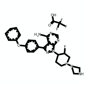 Nc1ncnc2c1c(-c1ccc(Oc3ccccc3)cc1)nn2C1CCN(N2CNC2)CC1F.O=C(O)C(F)(F)F